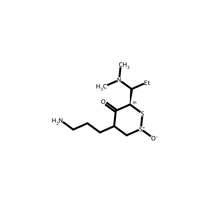 CCC([C@H]1S[S+]([O-])CC(CCCN)C1=O)N(C)C